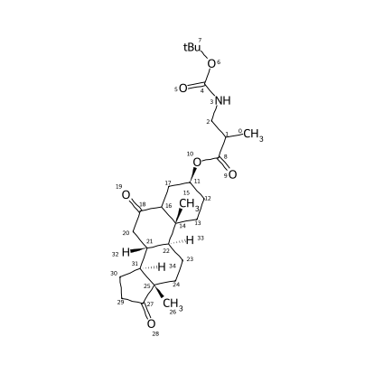 CC(CNC(=O)OC(C)(C)C)C(=O)O[C@H]1CC[C@@]2(C)C(C1)C(=O)C[C@@H]1[C@@H]2CC[C@]2(C)C(=O)CC[C@@H]12